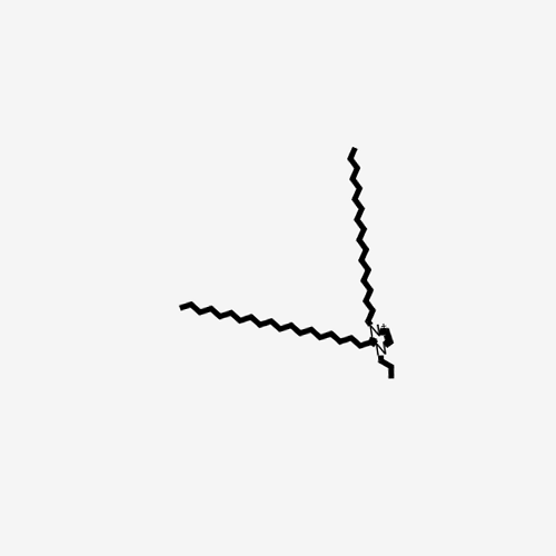 CCCCCCCCCCCCCCCCCCCc1n(CCC)cc[n+]1CCCCCCCCCCCCCCCCCC